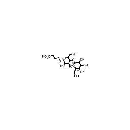 O=C(O)CCCO[C@@H]1OC(CO)[C@@H](O[C@@H]2OC(CO)[C@H](O)C(O)C2O)C(O)C1O